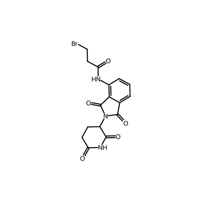 O=C1CCC(N2C(=O)c3cccc(NC(=O)CCBr)c3C2=O)C(=O)N1